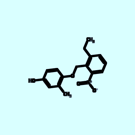 CCc1cccc([N+](=O)[O-])c1COc1ccc(O)cc1C